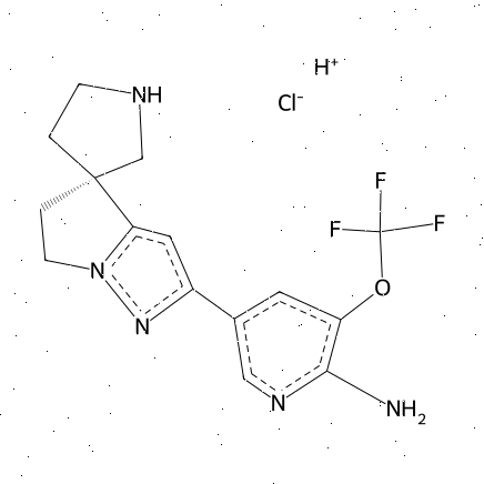 Nc1ncc(-c2cc3n(n2)CC[C@@]32CCNC2)cc1OC(F)(F)F.[Cl-].[H+]